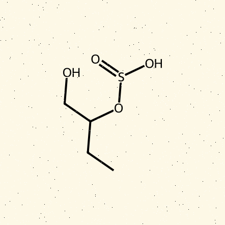 CCC(CO)OS(=O)O